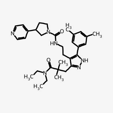 CCN(CC)C(=O)C(C)(C)Cc1n[nH]c(-c2cc(C)cc(C)c2)c1CCNC(=O)N1CCC(c2ccncc2)C1